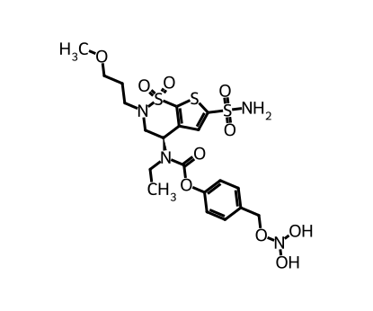 CCN(C(=O)Oc1ccc(CON(O)O)cc1)[C@H]1CN(CCCOC)S(=O)(=O)c2sc(S(N)(=O)=O)cc21